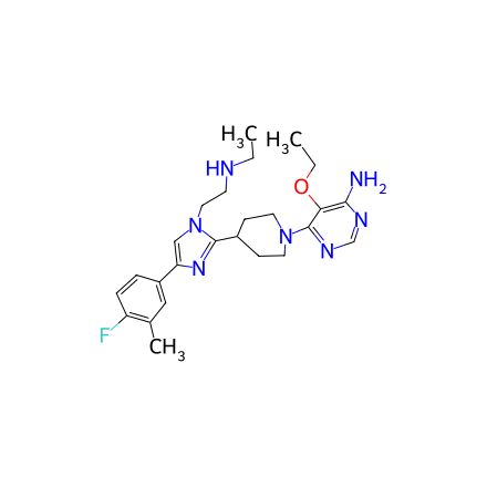 CCNCCn1cc(-c2ccc(F)c(C)c2)nc1C1CCN(c2ncnc(N)c2OCC)CC1